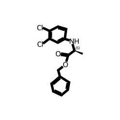 C[C@H](Nc1ccc(Cl)c(Cl)c1)C(=O)OCc1ccccc1